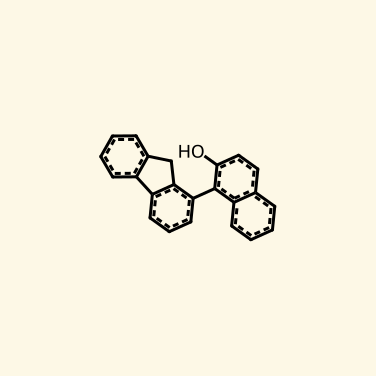 Oc1ccc2ccccc2c1-c1cccc2c1Cc1ccccc1-2